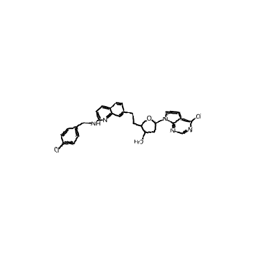 OC1CC(n2ccc3c(Cl)ncnc32)OC1CCc1ccc2ccc(NCc3ccc(Cl)cc3)nc2c1